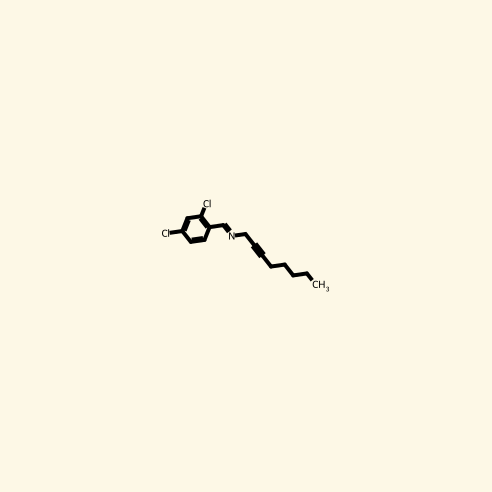 CCCCCC#CC/N=C/c1ccc(Cl)cc1Cl